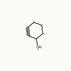 OC1C#C[CH]CC1